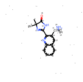 CC(C)C1(C)N=C(c2nc3ccccc3cc2C(=O)O)NC1=O.CC(C)N